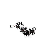 [2H]C1([2H])N(CC[C@H](CSc2ccccc2)Nc2ccc(S(=O)(=O)NC(=O)c3ccc(N4CCN(CC5=C(c6ccc(Cl)cc6)CCC(C)(C)C5)CC4)cc3)cc2S(=O)(=O)C(F)(F)F)C([2H])([2H])C([2H])([2H])N(Cc2cc(F)c3c(c2)C(=O)N(C2CCC(=O)NC2=O)C3=O)C1([2H])[2H]